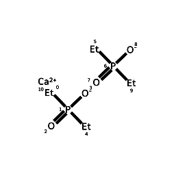 CCP(=O)([O-])CC.CCP(=O)([O-])CC.[Ca+2]